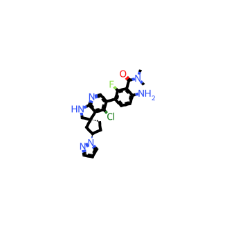 CN(C)C(=O)c1c(N)ccc(-c2cnc3c(c2Cl)[C@]2(CC[C@H](n4cccn4)C2)CN3)c1F